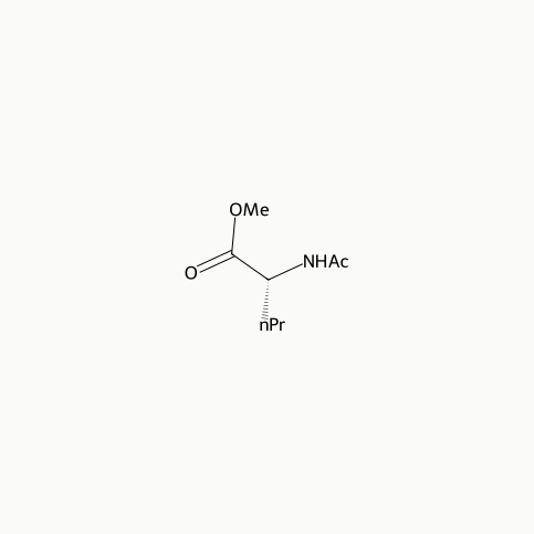 CCC[C@@H](NC(C)=O)C(=O)OC